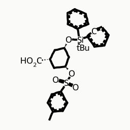 Cc1ccc(S(=O)(=O)O[C@H]2C[C@@H](O[Si](c3ccccc3)(c3ccccc3)C(C)(C)C)C[C@@H](C(=O)O)C2)cc1